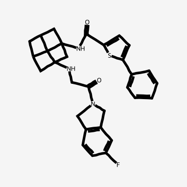 O=C(NC12CC3CC4CC(NCC(=O)N5Cc6ccc(F)cc6C5)(C1)C432)c1ccc(-c2ccccc2)s1